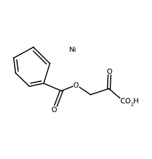 O=C(O)C(=O)COC(=O)c1ccccc1.[Ni]